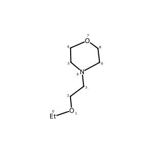 [CH2]COCCN1CCOCC1